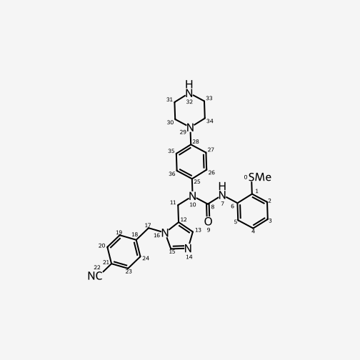 CSc1ccccc1NC(=O)N(Cc1cncn1Cc1ccc(C#N)cc1)c1ccc(N2CCNCC2)cc1